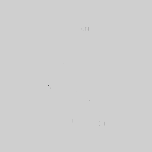 CC(I)Sc1cncc(C(I)CC#N)c1